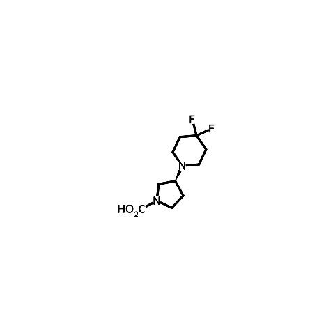 O=C(O)N1CC[C@H](N2CCC(F)(F)CC2)C1